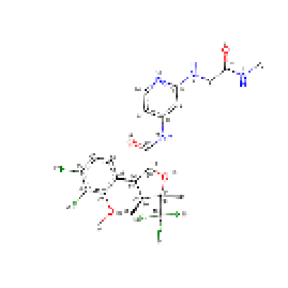 CNC(=O)CNc1cc(NC(=O)[C@@H]2O[C@@](C)(C(F)(F)F)[C@@H](C)[C@H]2c2ccc(F)c(F)c2OC)ccn1